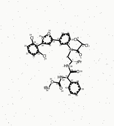 CC(C)[C@@H](CN(C(=O)C(Cl)Cl)c1cccc(-c2cc(-c3c(Cl)cccc3Cl)no2)c1)NC(=O)[C@H](NC(=O)OC(C)(C)C)c1ccccc1